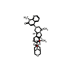 C[C@@H]1CN(c2cc(=O)n(C)c3ncccc23)C[C@@H]2c3ccc(C4CC5COCC(C4)N5C(=O)OC(C)(C)C)cc3CN12